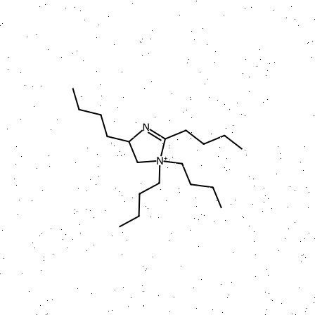 CCCCC1=NC(CCCC)C[N+]1(CCCC)CCCC